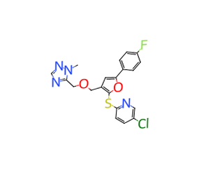 Cn1ncnc1COCc1cc(-c2ccc(F)cc2)oc1Sc1ccc(Cl)cn1